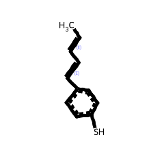 C/C=C/C=C/c1ccc(S)cc1